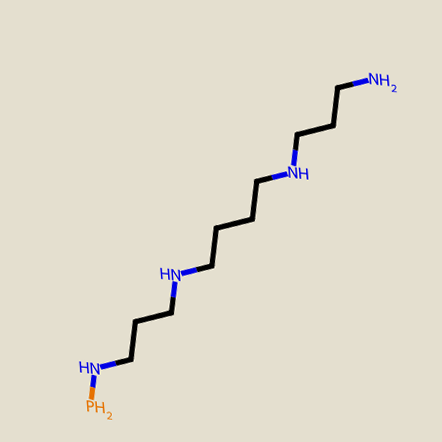 NCCCNCCCCNCCCNP